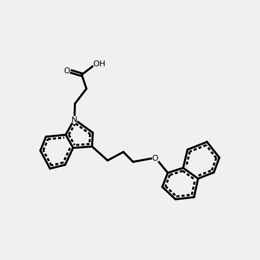 O=C(O)CCn1cc(CCCOc2cccc3ccccc23)c2ccccc21